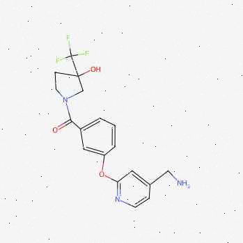 NCc1ccnc(Oc2cccc(C(=O)N3CCC(O)(C(F)(F)F)C3)c2)c1